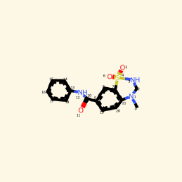 CN1CNS(=O)(=O)c2cc(C(=O)Nc3ccccc3)ccc21